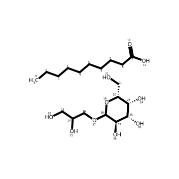 CCCCCCCCCC(=O)O.OCC(O)COC1O[C@H](CO)[C@H](O)[C@H](O)[C@H]1O